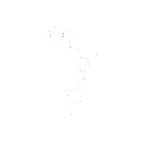 COc1cc2nn(C3CCC4(CC3)CN(C(C)=O)C4)cc2cc1C(=O)Nc1cnc2cccnn12